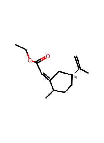 C=C(C)[C@@H]1CCC(C)/C(=C/C(=O)OCC)C1